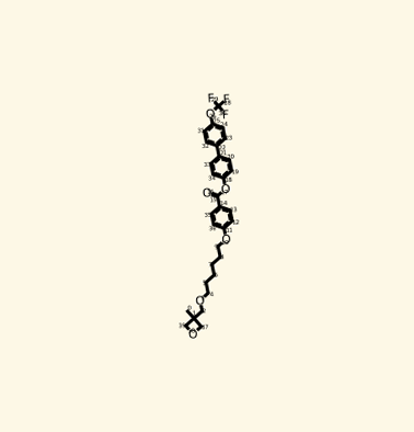 CC1(COCCCCCCOc2ccc(C(=O)Oc3ccc(-c4ccc(OC(F)(F)F)cc4)cc3)cc2)COC1